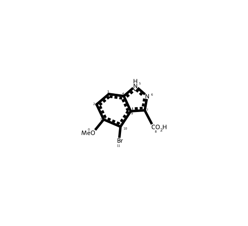 COc1ccc2[nH]nc(C(=O)O)c2c1Br